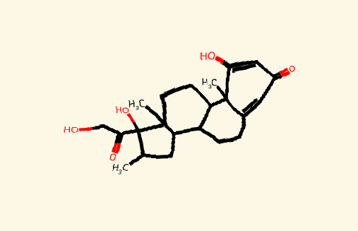 CC1CC2C3CCC4=CC(=O)C=C(O)C4(C)C3CCC2(C)C1(O)C(=O)CO